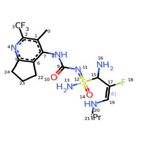 Cc1c(C(F)(F)F)nc2c(c1NC(=O)N=S(N)(=O)C(N)/C(F)=C\NC(C)C)CCC2